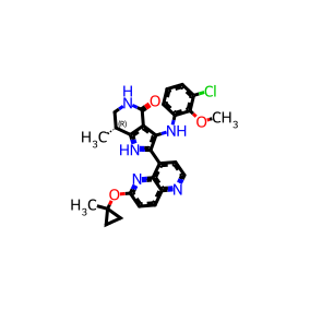 COc1c(Cl)cccc1Nc1c(-c2ccnc3ccc(OC4(C)CC4)nc23)[nH]c2c1C(=O)NC[C@H]2C